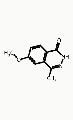 COc1ccc2c(=O)[nH]nc(C)c2c1